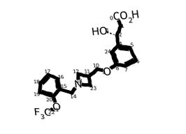 O=C(O)C[C@@H](O)c1cccc(OCC2CN(Cc3ccccc3OC(F)(F)F)C2)c1